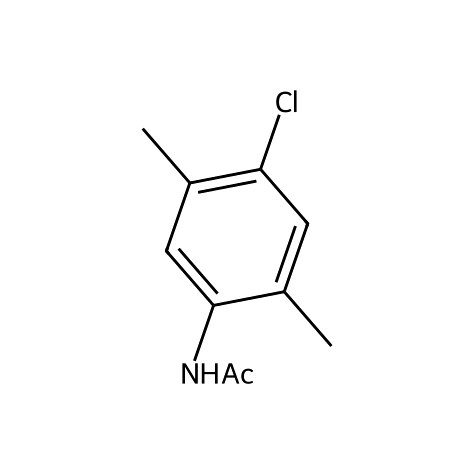 CC(=O)Nc1cc(C)c(Cl)cc1C